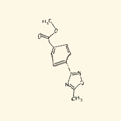 COC(=O)c1ccc(-c2noc(C)n2)cc1